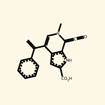 C=C(C1=CN(C)C(=C=O)c2[nH]c(C(=O)O)cc21)c1ccccc1